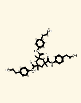 CC1(C(=O)Nc2ccc(CCO)cc2)CC(C)(C(=O)Nc2ccc(CCO)cc2)CC(C)(C(=O)Nc2ccc(CCO)cc2)C1